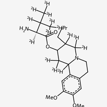 [2H]C([2H])([2H])C([2H])(C([2H])([2H])[2H])[C@]([2H])(N)C(=O)OC1C([2H])([2H])C2([2H])c3cc(OC)c(OC)cc3CCN2C([2H])([2H])C1([2H])CC(C)C